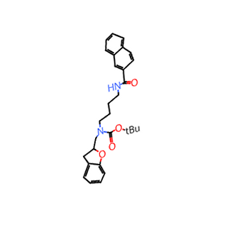 CC(C)(C)OC(=O)N(CCCCNC(=O)c1ccc2ccccc2c1)CC1Cc2ccccc2O1